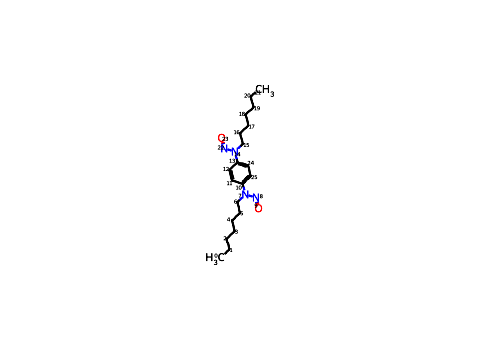 CCCCCCCN(N=O)c1ccc(N(CCCCCCC)N=O)cc1